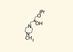 CC(C)OC[C@@H](O)CN1CCN(C)CC1